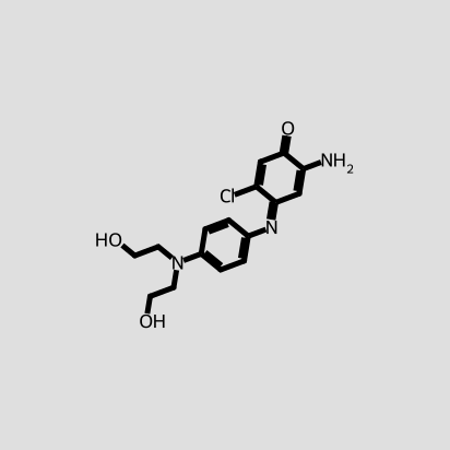 NC1=CC(=Nc2ccc(N(CCO)CCO)cc2)C(Cl)=CC1=O